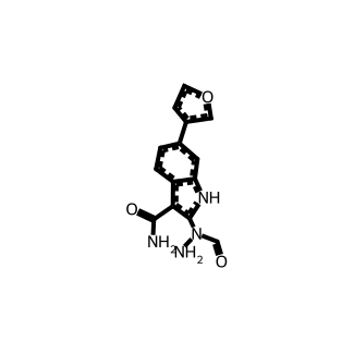 NC(=O)c1c(N(N)C=O)[nH]c2cc(-c3ccoc3)ccc12